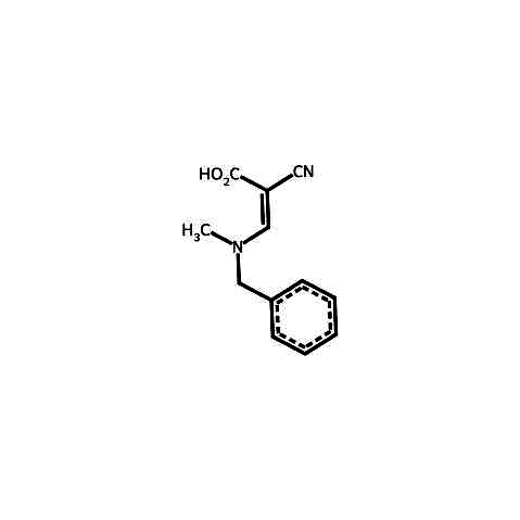 CN(C=C(C#N)C(=O)O)Cc1ccccc1